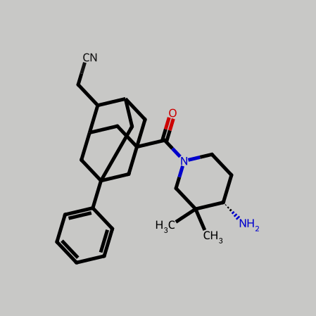 CC1(C)CN(C(=O)C23CC4CC(c5ccccc5)(CC(C2)C4CC#N)C3)CC[C@@H]1N